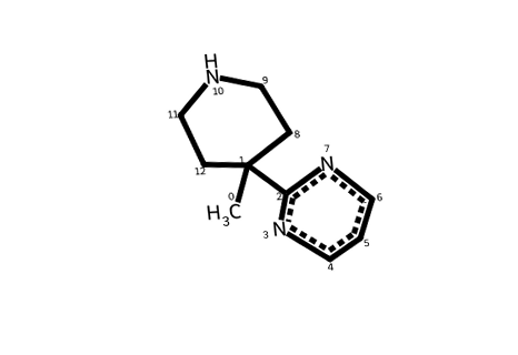 CC1(c2ncccn2)CCNCC1